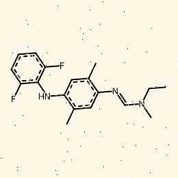 CCN(C)C=Nc1cc(C)c(Nc2c(F)cccc2F)cc1C